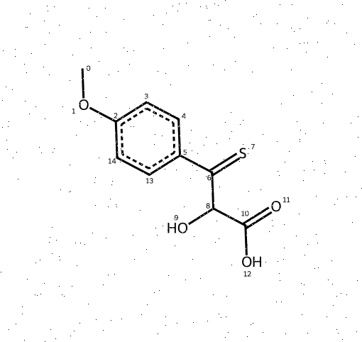 COc1ccc(C(=S)C(O)C(=O)O)cc1